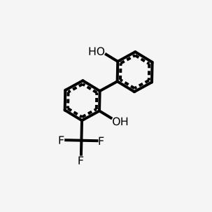 Oc1ccccc1-c1cccc(C(F)(F)F)c1O